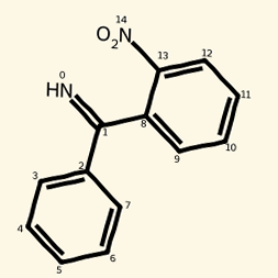 N=C(c1ccccc1)c1ccccc1[N+](=O)[O-]